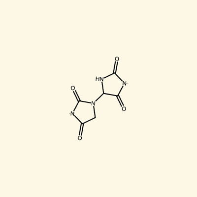 O=C1CN(C2NC(=O)[N]C2=O)C(=O)[N]1